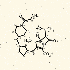 C[C@@H](O)[C@H]1C(=O)N2C(C(=O)O)=C(SC3CCN(CC4CCN(C(=O)CN)CC4)C3)[C@H](C)[C@H]12